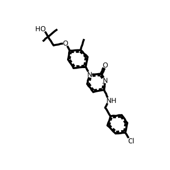 Cc1cc(-n2ccc(NCc3ccc(Cl)cc3)nc2=O)ccc1OCC(C)(C)O